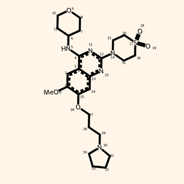 COc1cc2c(NC3CCOCC3)nc(N3CCS(=O)(=O)CC3)nc2cc1OCCCN1CCCC1